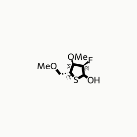 COC[C@H]1SC(O)[C@H](F)[C@@H]1OC